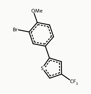 COc1ccc(-c2cc(C(F)(F)F)cs2)cc1Br